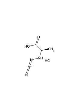 C[C@@H](NN=[N+]=[N-])C(=O)O.Cl